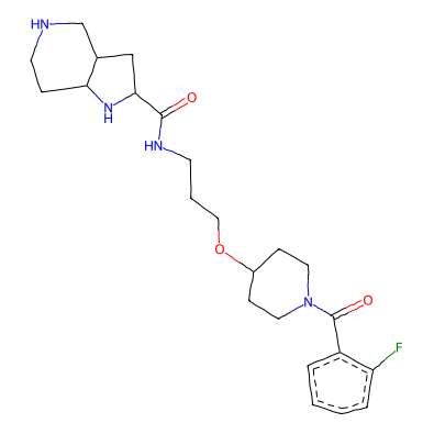 O=C(NCCCOC1CCN(C(=O)c2ccccc2F)CC1)C1CC2CNCCC2N1